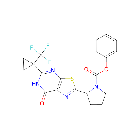 O=C(Oc1ccccc1)N1CCCC1c1nc2c(=O)[nH]c(C3(C(F)(F)F)CC3)nc2s1